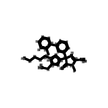 CN1C(=O)C(c2cccc(-c3cccnc3F)c2)(c2cc(CO)n(CCCCF)c2)N=C1N